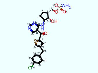 NS(=O)(=O)OC[C@H]1CCC(Nc2ncncc2C(=O)c2cc(Cc3ccc(Cl)cc3)cs2)[C@@H]1O